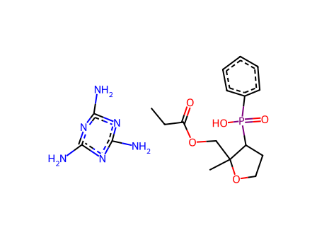 CCC(=O)OCC1(C)OCCC1P(=O)(O)c1ccccc1.Nc1nc(N)nc(N)n1